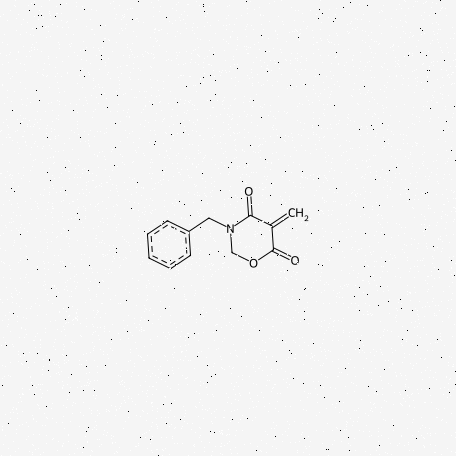 C=C1C(=O)OCN(Cc2ccccc2)C1=O